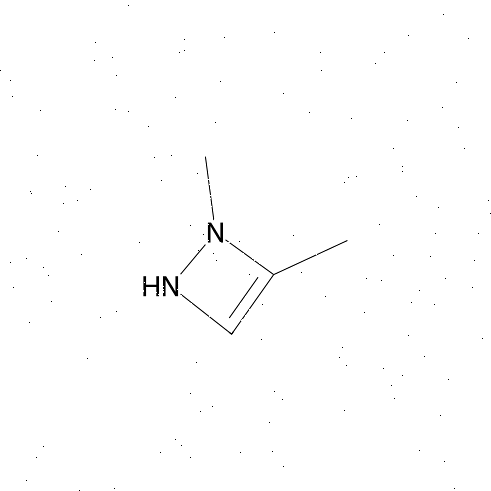 Cc1c[nH]n1C